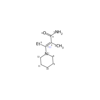 CC/C(=C(/C)C(N)=O)N1CCCCC1